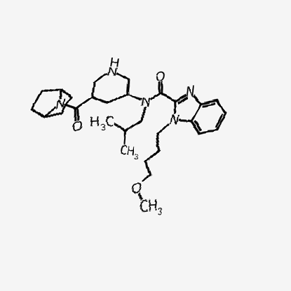 COCCCCn1c(C(=O)N(CC(C)C)[C@@H]2CNCC(C(=O)N3C4CCC3CC4)C2)nc2ccccc21